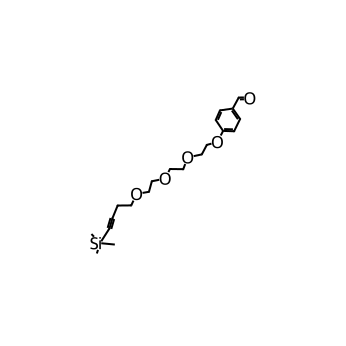 C[Si](C)(C)C#CCCOCCOCCOCCOc1ccc(C=O)cc1